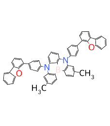 Cc1ccc2c(c1)N(c1ccc(-c3cccc4c3oc3ccccc34)cc1)c1cccc3c1B2c1ccc(C)cc1N3c1ccc(-c2cccc3c2oc2ccccc23)cc1